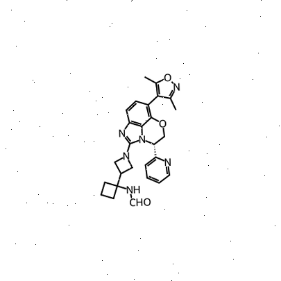 Cc1noc(C)c1-c1ccc2nc(N3CC(C4(NC=O)CCC4)C3)n3c2c1OC[C@@H]3c1ccccn1